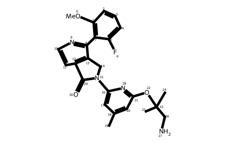 COc1cccc(F)c1-c1nccc2c1CN(c1cc(C)cc(OC(C)(C)CN)n1)C2=O